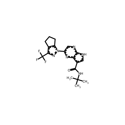 CC(C)(C)NC(=O)c1c[nH]c2ncc(-n3nc(C(F)(F)F)c4c3CCC4)nc12